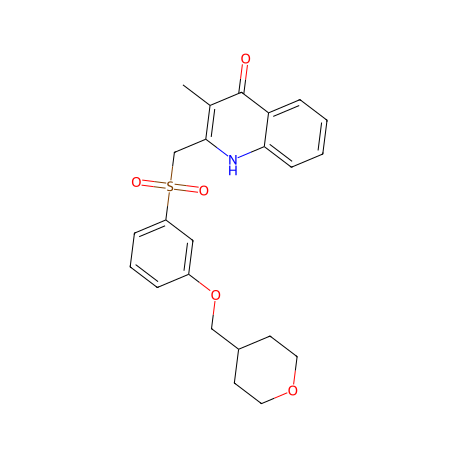 Cc1c(CS(=O)(=O)c2cccc(OCC3CCOCC3)c2)[nH]c2ccccc2c1=O